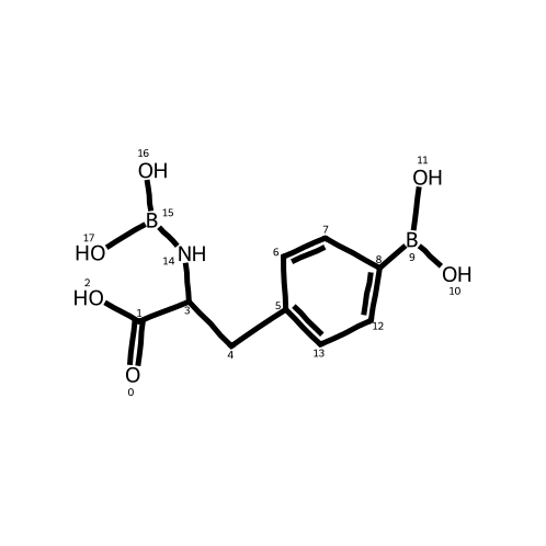 O=C(O)C(Cc1ccc(B(O)O)cc1)NB(O)O